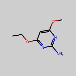 CCOc1cc(OC)nc(N)n1